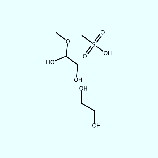 COC(O)CO.CS(=O)(=O)O.OCCO